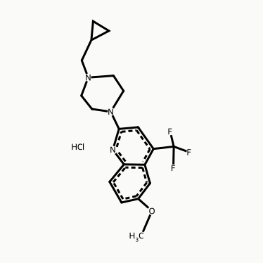 COc1ccc2nc(N3CCN(CC4CC4)CC3)cc(C(F)(F)F)c2c1.Cl